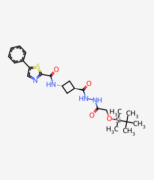 CC(C)(C)[Si](C)(C)OCC(=O)NNC(=O)[C@H]1C[C@H](NC(=O)c2ncc(-c3ccccc3)s2)C1